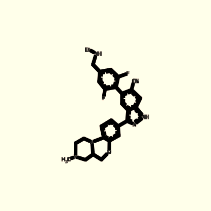 CCNCc1cc(F)c(-c2cc3c(-c4ccc5c(c4)OCC4CN(C)CCN54)n[nH]c3cc2C#N)c(F)c1